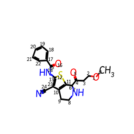 COCCC(=O)C1NCCc2c1sc(NC(=O)c1ccccc1)c2C#N